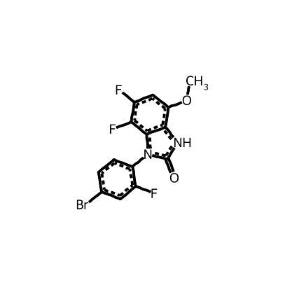 COc1cc(F)c(F)c2c1[nH]c(=O)n2-c1ccc(Br)cc1F